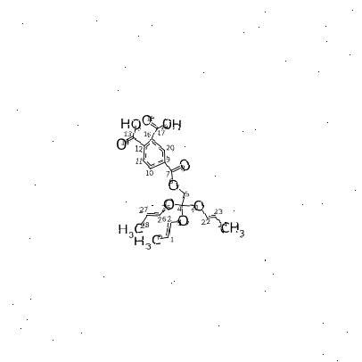 CC=COC(COC(=O)c1ccc(C(=O)O)c(C(=O)O)c1)(OC=CC)OC=CC